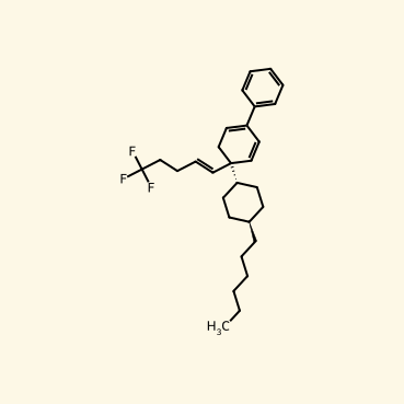 CCCCCC[C@H]1CC[C@H](C2(C=CCCC(F)(F)F)C=CC(c3ccccc3)=CC2)CC1